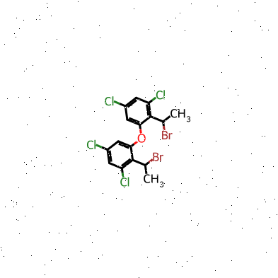 CC(Br)c1c(Cl)cc(Cl)cc1Oc1cc(Cl)cc(Cl)c1C(C)Br